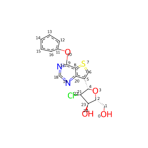 OC[C@H]1O[C@@H](c2csc3c(Oc4ccccc4)ncnc23)[C@H](Cl)[C@@H]1O